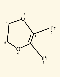 CC(C)C1=C(C(C)C)OCCO1